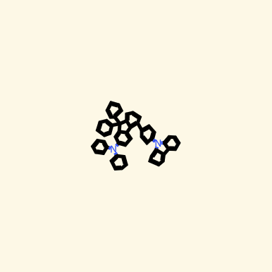 c1ccc(N(c2ccccc2)c2ccc3c(c2)C(c2ccccc2)(c2ccccc2)c2cccc(-c4ccc(-n5c6ccccc6c6ccccc65)cc4)c2-3)cc1